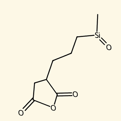 C[Si](=O)CCCC1CC(=O)OC1=O